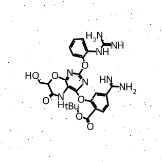 CC(C)(C)OC(=O)c1ccc(C(=N)N)cc1Oc1nc(Oc2ccccc2NC(=N)N)nc2c1NC(=O)C(CO)O2